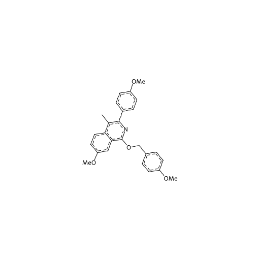 COc1ccc(COc2nc(-c3ccc(OC)cc3)c(C)c3ccc(OC)cc23)cc1